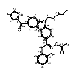 CCOCCn1c2ccc(C(=O)c3cccs3)cc2c2cc(/C(Cc3ccccc3C)=N\OC(C)=O)ccc21